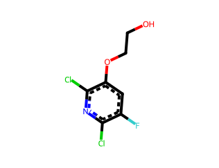 OCCOc1cc(F)c(Cl)nc1Cl